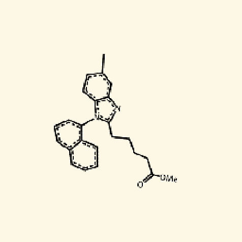 COC(=O)CCCCc1nc2cc(C)ccc2n1-c1cccc2ccccc12